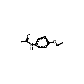 CCOc1[c]cc(NC(C)=O)cc1